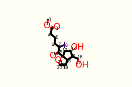 COC(=O)CCCC(I)C(=O)C12CC(O)C(CO)C1C=CO2